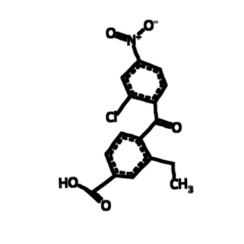 CCc1cc(C(=O)O)ccc1C(=O)c1ccc([N+](=O)[O-])cc1Cl